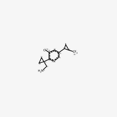 NCC1(c2ncc(C3CC3C(F)(F)F)cc2Cl)CC1